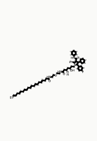 CCC=CCC=CCC=CCC=CCC=CCC=CCCC(=O)NCCOCCNC(=O)C[C@H](O)C[C@H](O)CCn1c(-c2ccc(F)cc2)c(-c2ccccc2)c(C(=O)Nc2ccccc2)c1C(C)C